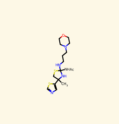 CC(=O)NC1(NCCCN2CCOCC2)NC(C)(c2cncs2)CS1